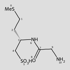 CSCC[C@@H](CS(=O)(=O)O)NC(=O)CN